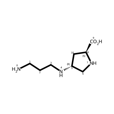 NCCCN[C@H]1CN[C@H](C(=O)O)C1